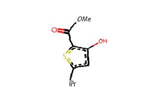 COC(=O)c1sc(C(C)C)cc1O